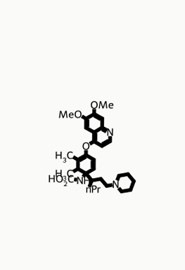 CCCC(CCN1CCCCC1)C1(NC(=O)O)C=CC(Oc2ccnc3cc(OC)c(OC)cc23)=C(C)C1C